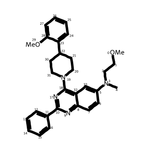 COCCN(C)c1ccc2nc(-c3ccccc3)nc(N3CCC(c4ccccc4OC)CC3)c2c1